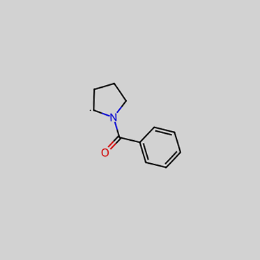 O=C(c1ccccc1)N1[CH]CCC1